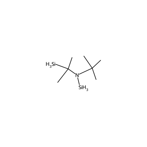 CC(C)(C)N([SiH3])C(C)(C)[SiH3]